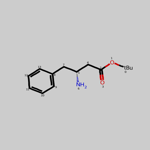 CC(C)(C)OC(=O)C[C@H](N)Cc1ccccc1